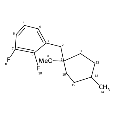 COC1(Cc2cccc(F)c2F)CCC(C)CC1